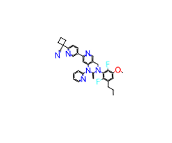 C=C1N(c2c(F)c(CCC)cc(OC)c2F)Cc2cnc(-c3ccc(C4(C#N)CCC4)nc3)cc2N1c1ccccn1